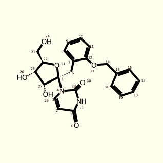 O=c1ccn([C@]2(Cc3ccccc3OCc3ccccc3)O[C@H](CO)[C@@H](O)[C@H]2O)c(=O)[nH]1